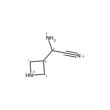 N#CC(N)C1CNC1